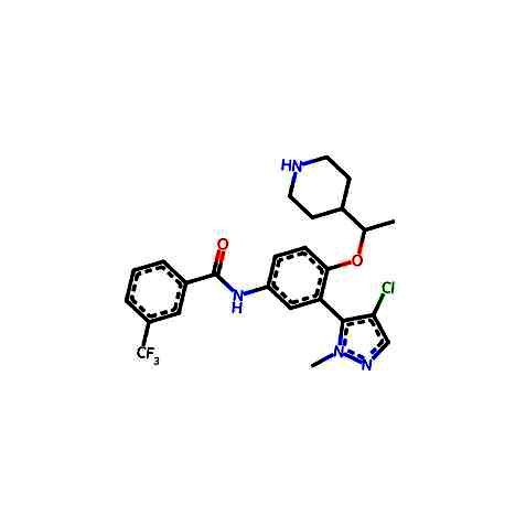 CC(Oc1ccc(NC(=O)c2cccc(C(F)(F)F)c2)cc1-c1c(Cl)cnn1C)C1CCNCC1